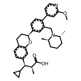 COc1cc(-c2ccc([C@@H]3CCc4ccc([C@H](C5CC5)[C@H](C)C(=O)O)cc4O3)cc2CN2[C@H](C)CCC[C@H]2C)ccn1